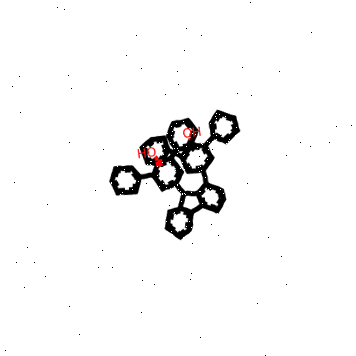 Oc1c(-c2ccccc2)cc(-c2cccc3c2C(c2cc(-c4ccccc4)c(O)c(-c4ccccc4)c2)c2ccccc2-3)cc1-c1ccccc1